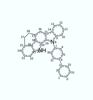 c1ccc(-c2ccc(-n3c4ccccc4c4cc5c6c([nH]c7cccc(c76)CC5)c43)cc2)cc1